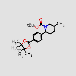 CC1CCC(c2ccc(B3OC(C)(C)C(C)(C)O3)cc2)N(C(=O)OC(C)(C)C)C1